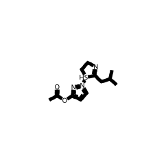 CC(=O)Oc1ccn([SH]2CCN=C2CC(C)C)n1